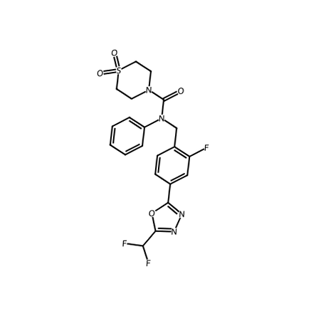 O=C(N1CCS(=O)(=O)CC1)N(Cc1ccc(-c2nnc(C(F)F)o2)cc1F)c1ccccc1